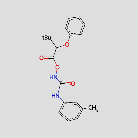 Cc1cccc(NC(=O)NOC(=O)C(Oc2ccccc2)C(C)(C)C)c1